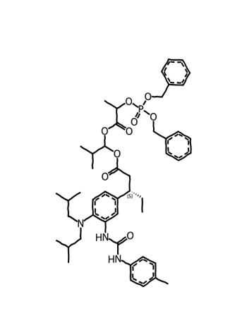 CC[C@@H](CC(=O)OC(OC(=O)C(C)OP(=O)(OCc1ccccc1)OCc1ccccc1)C(C)C)c1ccc(N(CC(C)C)CC(C)C)c(NC(=O)Nc2ccc(C)cc2)c1